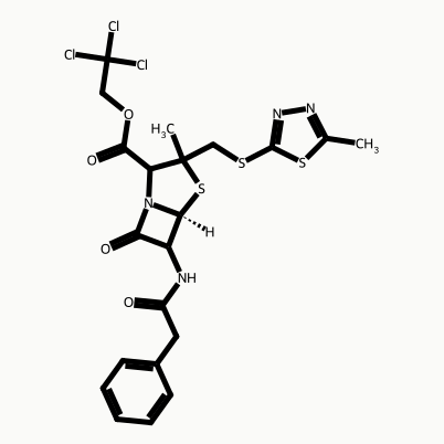 Cc1nnc(SCC2(C)S[C@H]3C(NC(=O)Cc4ccccc4)C(=O)N3C2C(=O)OCC(Cl)(Cl)Cl)s1